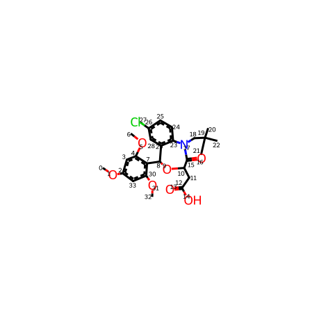 COc1cc(OC)c(C2OC(CC(=O)O)C(=O)N(CC(C)(C)C)c3ccc(Cl)cc32)c(OC)c1